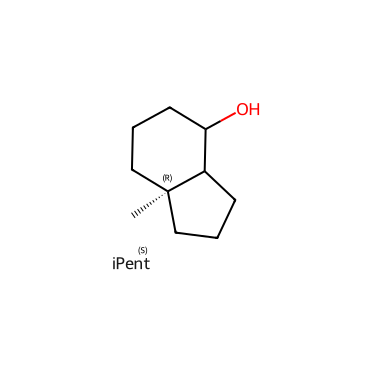 CCC[C@H](C)C1CCC2C(O)CCC[C@@]21C